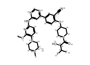 COc1nc(Nc2cc(-c3ccc(OC4CCN(C(=O)[C@H](O)C(F)F)CC4)c(C#N)c3)ncn2)ccc1N1CCN(C)[C@@H](C)C1